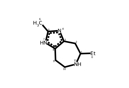 CCC1Cc2nc(C)[nH]c2CCN1